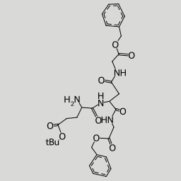 CC(C)(C)OC(=O)CCC(N)C(=O)NC(CC(=O)NCC(=O)OCc1ccccc1)C(=O)NCC(=O)OCc1ccccc1